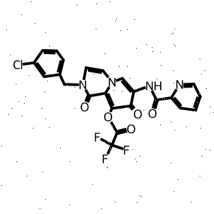 O=C(Nc1cn2ccn(Cc3cccc(Cl)c3)c(=O)c2c(OC(=O)C(F)(F)F)c1=O)c1ccccn1